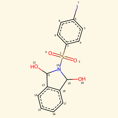 O=S(=O)(c1ccc(I)cc1)N1C(O)c2ccccc2C1O